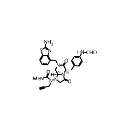 C#CCN(C(=O)NC)N1CC(=O)N2[C@@H](Cc3ccc(NC=O)cc3)C(=O)N(Cc3cccc4sc(N)nc34)C[C@@H]21